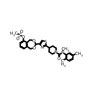 Cc1ccc(C)c(N(C)C(=O)N2CCC(c3nc(C4OCc5cccc(OS(C)(=O)=O)c5CO4)cs3)CC2)c1